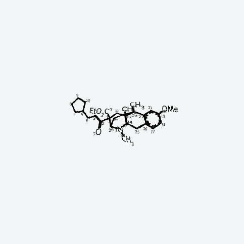 CCOC(=O)C1(C(=O)CCC2CCCC2)CC2(C)C3Cc4ccc(OC)cc4C2(C)CC1N3C